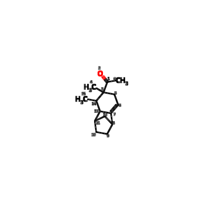 CC(=O)C1(C)CC=C2C3CCC(C3)C2C1C